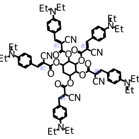 CCN(CC)c1ccc(/C=C(\C#N)C(=O)OC2CC(OC(=O)/C(C#N)=C/c3ccc(N(CC)CC)cc3)C(OC(=O)/C(C#N)=C/c3ccc(N(CC)CC)cc3)C(OC(=O)/C(C#N)=C/c3ccc(N(CC)CC)cc3)C2OC(=O)/C(C#N)=C/c2ccc(N(CC)CC)cc2)cc1